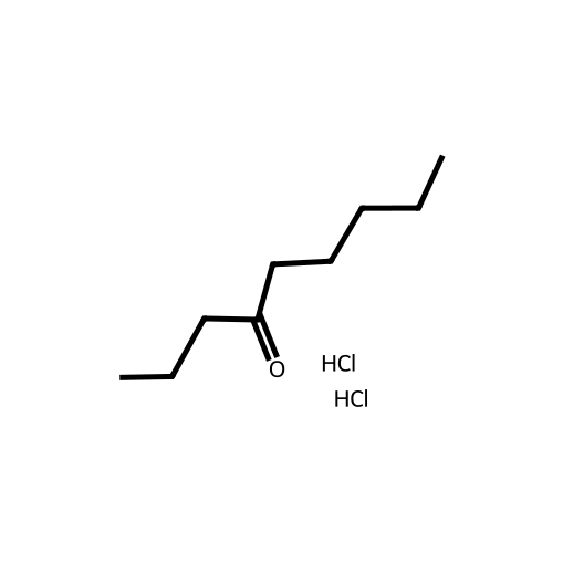 CCCCCC(=O)CCC.Cl.Cl